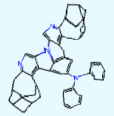 c1ccc(N(c2ccccc2)c2cc3c4c5c(ncc4n4c6cnc7c(c6c(c2)c34)C2CC3CC4CC7CC43C2)C2CC3CC(C2)CC5C3)cc1